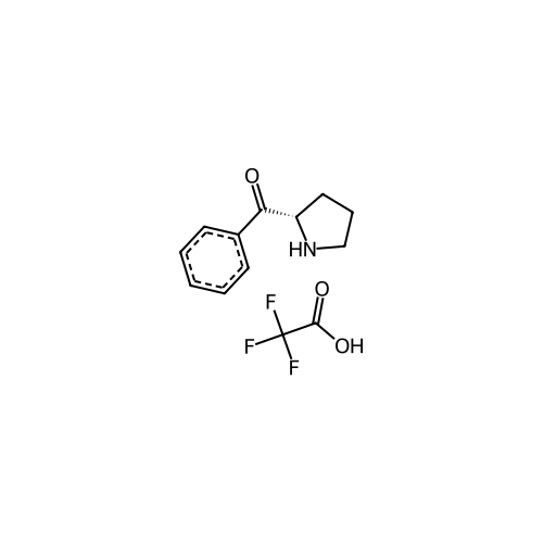 O=C(O)C(F)(F)F.O=C(c1ccccc1)[C@@H]1CCCN1